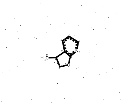 CC1COc2ncccc21